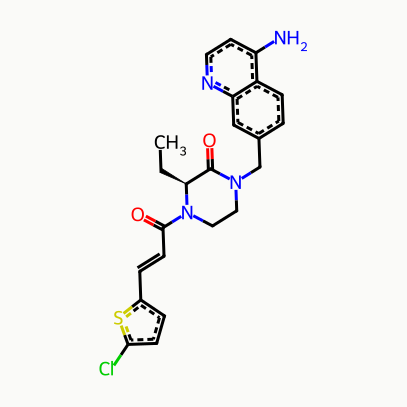 CC[C@H]1C(=O)N(Cc2ccc3c(N)ccnc3c2)CCN1C(=O)C=Cc1ccc(Cl)s1